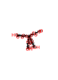 O=COCCCC(=O)OCCOCC(COCCOC(=O)CCCC(=O)O)(COCCOC(=O)CCCC(=O)O)COCCOC(=O)CCCC(=O)O